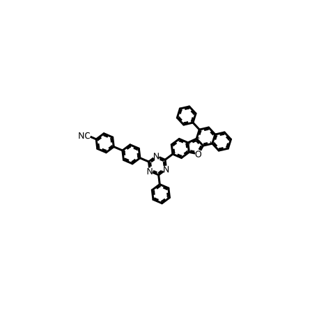 N#Cc1ccc(-c2ccc(-c3nc(-c4ccccc4)nc(-c4ccc5c(c4)oc4c6ccccc6cc(-c6ccccc6)c54)n3)cc2)cc1